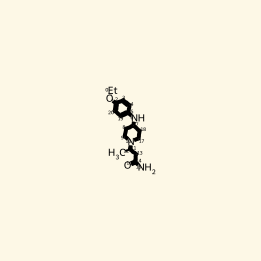 CCOc1ccc(NC2CCN([C@H](C)CC(N)=O)CC2)cc1